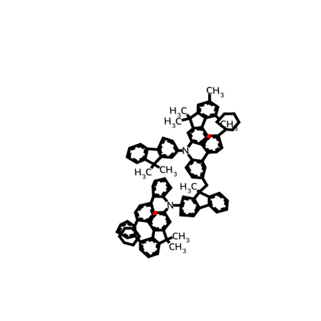 Cc1cc(C)c2c(c1)C(C)(C)c1cc(N(c3ccc4c(c3)C(C)(C)c3ccccc3-4)c3ccc(CC4(C)c5ccccc5-c5ccc(N(c6ccc7c(c6)C(C)(C)c6cccc(-c8ccccc8)c6-7)c6ccccc6-c6ccc(C7CCCCC7)cc6)cc54)cc3-c3ccc(C4CCCCC4)cc3)ccc1-2